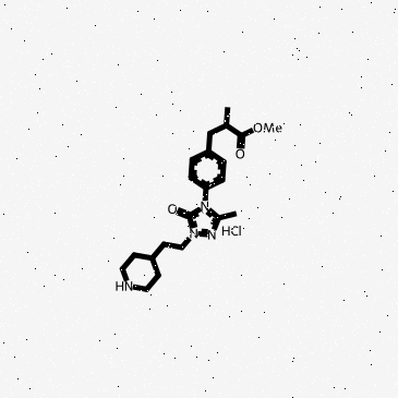 COC(=O)C(C)Cc1ccc(-n2c(C)nn(CCC3CCNCC3)c2=O)cc1.Cl